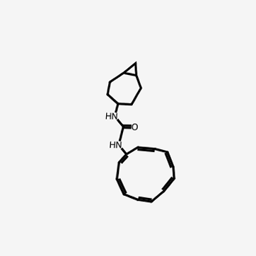 O=C(NC1=C/C=C\C=C/C=C\C=C/C=C\1)NC1CCC2CC2CC1